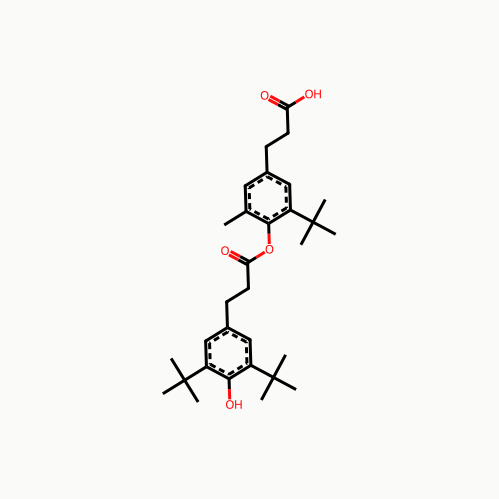 Cc1cc(CCC(=O)O)cc(C(C)(C)C)c1OC(=O)CCc1cc(C(C)(C)C)c(O)c(C(C)(C)C)c1